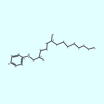 CCCCCCCCC(C)CCCC(C)COc1ccccc1